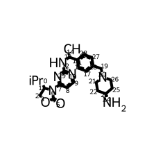 CC(C)C1COC(=O)N1c1ccnc(N[C@@H](C)c2ccc(CN3CCC(N)CC3)cc2)n1